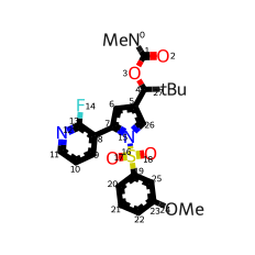 CNC(=O)OC(c1cc(-c2cccnc2F)n(S(=O)(=O)c2cccc(OC)c2)c1)C(C)(C)C